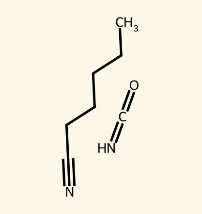 CCCCCC#N.N=C=O